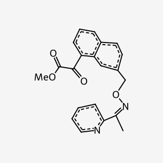 COC(=O)C(=O)c1cccc2ccc(CON=C(C)c3ccccn3)cc12